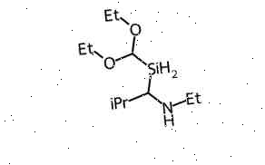 CCNC([SiH2]C(OCC)OCC)C(C)C